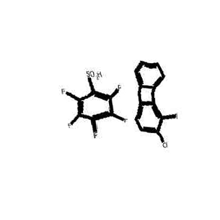 Clc1ccc2c(c1I)-c1ccccc1-2.O=S(=O)(O)c1c(F)c(F)c(F)c(F)c1F